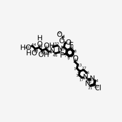 O=COC(=O)C(c1c(F)cc(OCCCC2CCN(c3ncc(Cl)cn3)CC2)cc1F)N1CCN(CC(O)C(O)C(O)C(O)CO)CC1